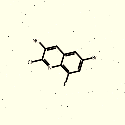 N#Cc1cc2cc(Br)cc(F)c2nc1Cl